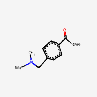 CNC(=O)c1ccc(CN(C)C(C)(C)C)cc1